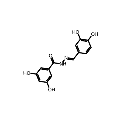 O=C(NN=Cc1ccc(O)c(O)c1)c1cc(O)cc(O)c1